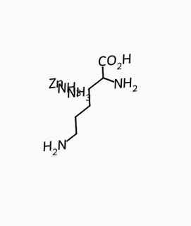 N.N.NCCCCC(N)C(=O)O.[Zn]